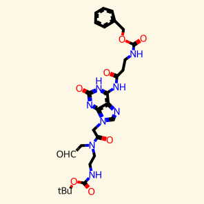 CC(C)(C)OC(=O)NCCN(CC=O)C(=O)Cn1cnc2c(NC(=O)CCNC(=O)OCc3ccccc3)[nH]c(=O)nc21